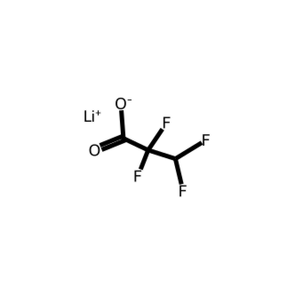 O=C([O-])C(F)(F)C(F)F.[Li+]